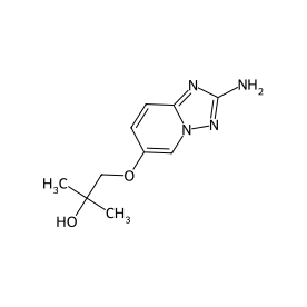 CC(C)(O)COc1ccc2nc(N)nn2c1